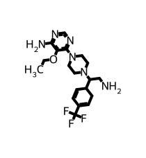 CCOc1c(N)ncnc1N1CCN(C(CN)C2C=CC(C(F)(F)F)=CC2)CC1